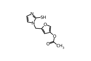 CC(=O)Oc1coc(Cn2ccnc2S)c1